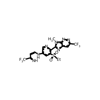 CCS(=O)(=O)c1cc(N/C=C\C(=N)C(F)(F)F)cnc1-c1nc2cc(C(F)(F)F)nnc2n1C